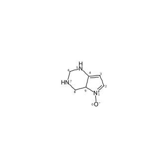 [O-][N+]1=CC=C2NCNCC21